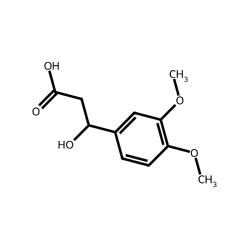 COc1ccc(C(O)CC(=O)O)cc1OC